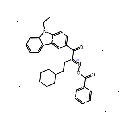 CCn1c2ccccc2c2cc(C(=O)/C(CCC3CCCCC3)=N/OC(=O)c3ccccc3)ccc21